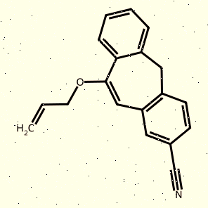 C=CCOC1=Cc2cc(C#N)ccc2Cc2ccccc21